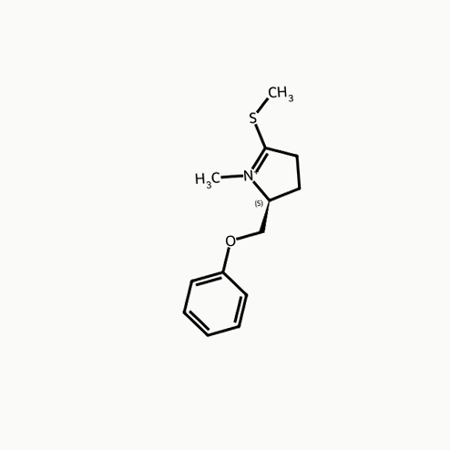 CSC1=[N+](C)[C@H](COc2ccccc2)CC1